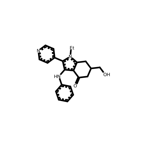 CCn1c2c(c(Nc3ccccc3)c1-c1ccncc1)C(=O)CC(CO)C2